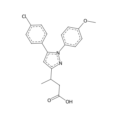 COc1ccc(-n2nc(C(C)CC(=O)O)cc2-c2ccc(Cl)cc2)cc1